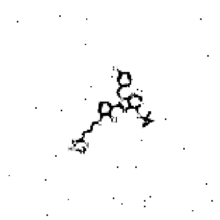 CC1(Oc2ncnc3c2nc(-c2cccc(OCCCc4nn[nH]n4)c2Cl)n3Cc2cccc(Cl)c2)CC1